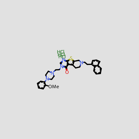 COc1ccccc1N1CCN(CCn2cnc3sc4c(c3c2=O)CCN(CCc2cccc3ccccc23)C4)CC1.Cl.Cl.Cl